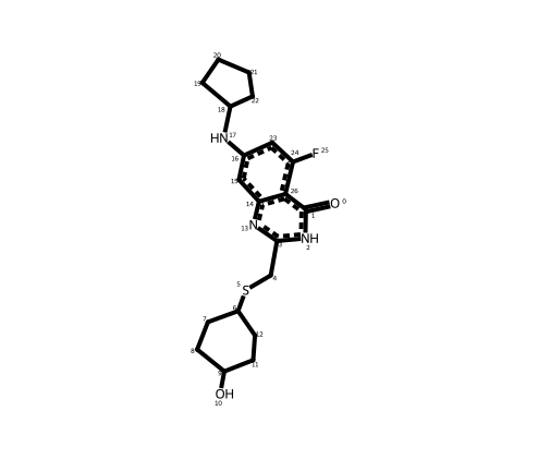 O=c1[nH]c(CSC2CCC(O)CC2)nc2cc(NC3CCCC3)cc(F)c12